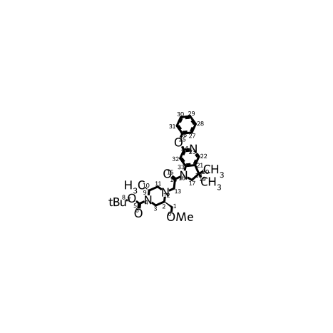 COC[C@H]1CN(C(=O)OC(C)(C)C)[C@H](C)CN1CC(=O)N1CC(C)(C)c2cnc(Oc3ccccc3)cc21